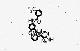 COc1ccc(NC(=O)c2cccc(C(F)(F)F)c2)cc1Nc1ncccc1-c1ncnc2[nH]cnc12